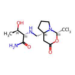 C[C@@H](O)[C@H](NC[C@]12CCCN1[C@H](C(Cl)(Cl)Cl)OC(=O)C2)C(N)=O